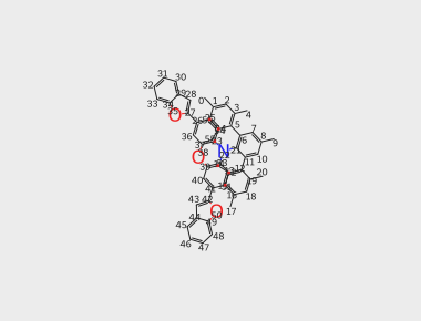 Cc1cc(C)c(-c2cc(C)cc(-c3c(C)cc(C)cc3C)c2N2c3ccc(-c4cc5ccccc5o4)cc3Oc3cc(-c4cc5ccccc5o4)ccc32)c(C)c1